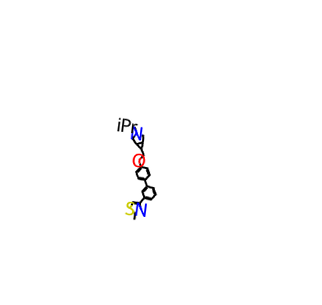 Cc1nc(-c2cccc(-c3ccc(OCC4C5CN(C(C)C)CC45)cc3)c2)cs1